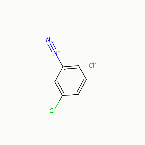 N#[N+]c1cccc(Cl)c1.[Cl-]